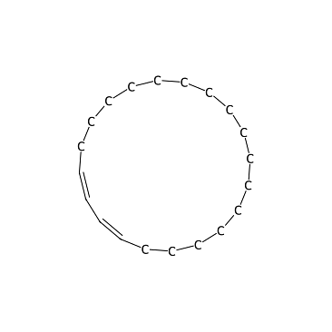 C1=CCCCCCCCCCCCCCCCCC=C1